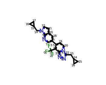 FC(F)(F)c1c(-c2cnc3c(ccn3CC3CC3)c2)ccn2c(CC3CC3)nnc12